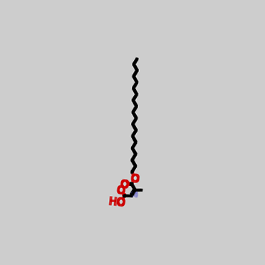 CCCCCCCCCCCCCCCCCCCCOC(=O)/C(C)=C\C(=O)O